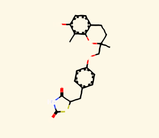 Cc1c(O)ccc2c1OC(C)(COc1ccc(CC3SC(=O)NC3=O)cc1)CC2